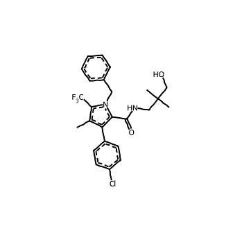 Cc1c(-c2ccc(Cl)cc2)c(C(=O)NCC(C)(C)CO)n(Cc2ccccc2)c1C(F)(F)F